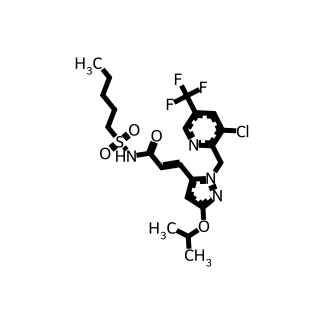 CCCCCS(=O)(=O)NC(=O)C=Cc1cc(OC(C)C)nn1Cc1ncc(C(F)(F)F)cc1Cl